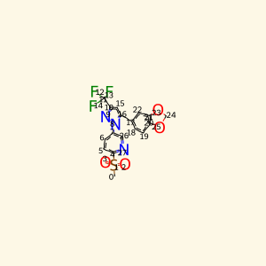 CS(=O)(=O)c1ccc(-n2nc(C(F)(F)F)cc2-c2ccc3c(c2)OCO3)cn1